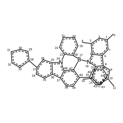 Cc1cc(C)c2c(c1)c1cc(C)cc(C)c1n2B1c2ccccc2-n2c3cc(-c4ccccc4)ccc3c3ccc(-c4ccccc4)c1c32